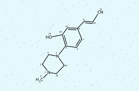 CN1CCN(c2ccc(C=CC#N)cc2O)CC1